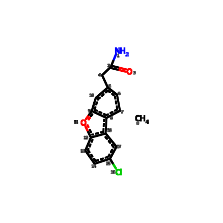 C.NC(=O)Cc1ccc2c(c1)oc1ccc(Cl)cc12